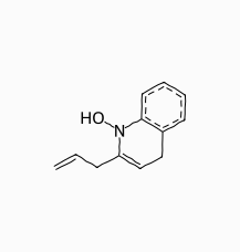 C=CCC1=CCc2ccccc2N1O